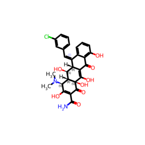 CN(C)[C@@H]1C(O)=C(C(N)=O)C(=O)[C@@]2(O)C(O)=C3C(=O)c4c(O)cccc4/C(=C\c4cccc(Cl)c4)[C@H]3[C@H](O)[C@@H]12